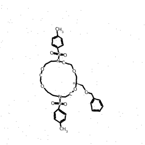 Cc1ccc(S(=O)(=O)N2CCOCCOCCN(S(=O)(=O)c3ccc(C)cc3)CCO[C@H](COCc3ccccc3)COCC2)cc1